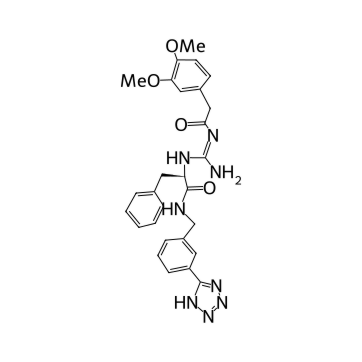 COc1ccc(CC(=O)N=C(N)N[C@H](Cc2ccccc2)C(=O)NCc2cccc(-c3nnn[nH]3)c2)cc1OC